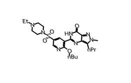 CCCCOc1ncc(S(=O)(=O)N2CCN(CC)CC2)cc1-c1nc2c(CCC)n(C)nc2c(=O)[nH]1